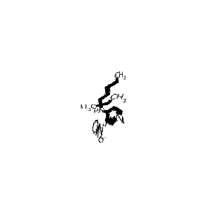 CCCCCC(C)(CC)Nc1ccncc1[N+](=O)[O-]